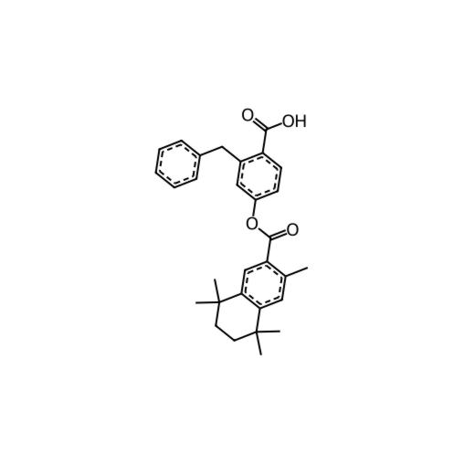 Cc1cc2c(cc1C(=O)Oc1ccc(C(=O)O)c(Cc3ccccc3)c1)C(C)(C)CCC2(C)C